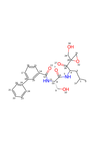 CC(C)CC(NC(=O)[C@H](CO)NC(=O)c1cccc(-c2ccccc2)c1)C(=O)C1(CO)CO1